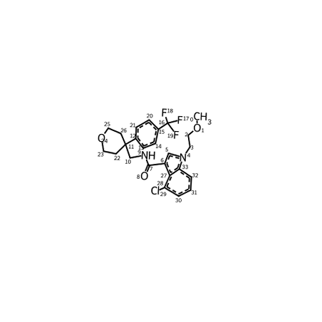 COCCn1cc(C(=O)NCC2(c3ccc(C(F)(F)F)cc3)CCOCC2)c2c(Cl)cccc21